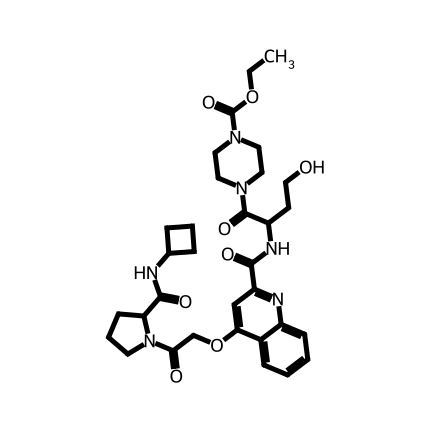 CCOC(=O)N1CCN(C(=O)C(CCO)NC(=O)c2cc(OCC(=O)N3CCCC3C(=O)NC3CCC3)c3ccccc3n2)CC1